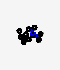 c1ccc(-c2cccc([Si](c3ccccc3)(c3ccccc3)c3cccc(C4CC(n5c6ccccc6c6ccccc65)=NC(n5c6ccccc6c6ccccc65)=N4)c3)c2)cc1